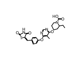 CCC1CC(Oc2ncnc(Oc3ccc(C=C4SC(=O)NC4=O)cc3)c2C)CCN1C(=O)O